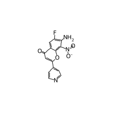 Nc1c(F)cc2c(=O)cc(-c3ccncc3)oc2c1[N+](=O)[O-]